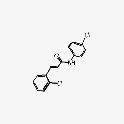 N#Cc1ccc(NC(=O)/C=C/c2ccccc2Cl)cc1